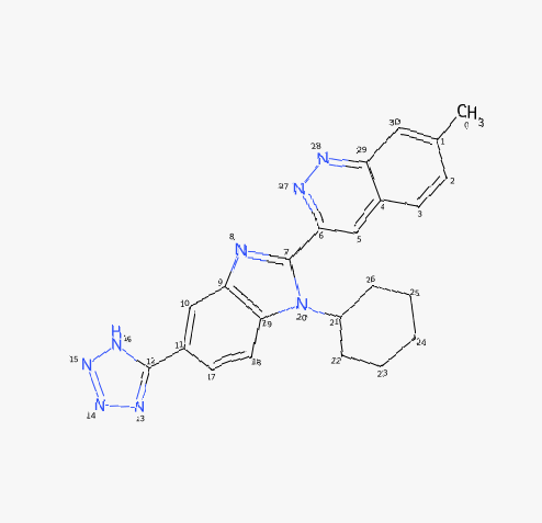 Cc1ccc2cc(-c3nc4cc(-c5nnn[nH]5)ccc4n3C3CCCCC3)nnc2c1